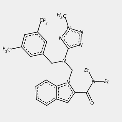 CCN(CC)C(=O)c1cc2ccccc2n1CN(Cc1cc(C(F)(F)F)cc(C(F)(F)F)c1)c1nnn(C)n1